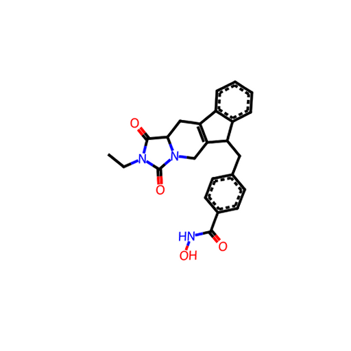 CCN1C(=O)C2CC3=C(CN2C1=O)C(Cc1ccc(C(=O)NO)cc1)c1ccccc13